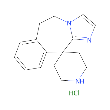 Cl.c1ccc2c(c1)CCn1ccnc1C21CCNCC1